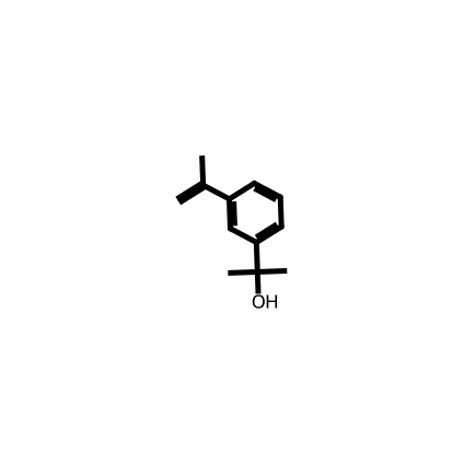 C=C(C)c1cccc(C(C)(C)O)c1